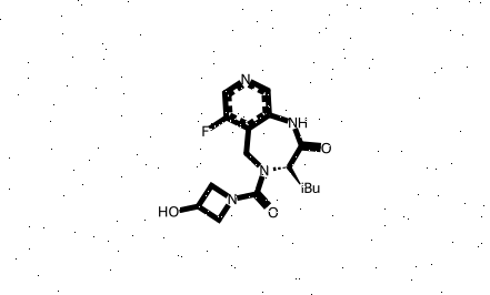 CC[C@H](C)[C@H]1C(=O)Nc2cncc(F)c2CN1C(=O)N1CC(O)C1